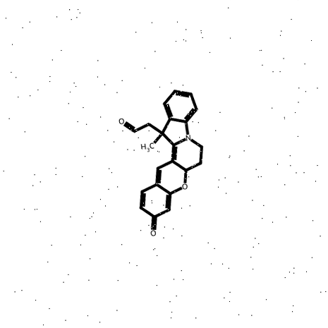 CC1(CC=O)C2=C3C=C4C=CC(=O)C=C4OC3CCN2c2ccccc21